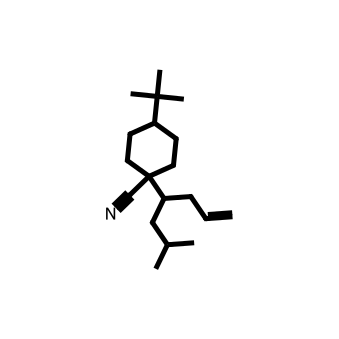 C=CCC(CC(C)C)C1(C#N)CCC(C(C)(C)C)CC1